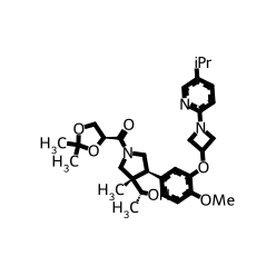 COc1ccc([C@@H]2CN(C(=O)[C@@H]3COC(C)(C)O3)C[C@@]2(C)[C@@H](C)O)cc1OC1CN(c2ccc(C(C)C)cn2)C1